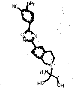 CCCc1ccc(-c2nc(-c3ccc4c(c3)CCN(CC(N)(CO)CO)C4)no2)cc1C#N